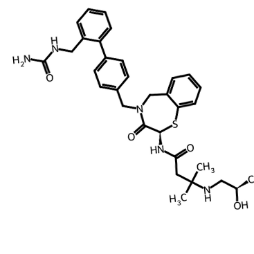 C[C@@H](O)CNC(C)(C)CC(=O)N[C@@H]1Sc2ccccc2CN(Cc2ccc(-c3ccccc3CNC(N)=O)cc2)C1=O